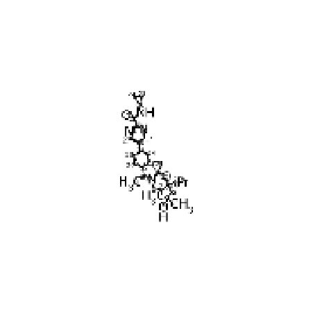 CC(C)[C@@]1(CC(C)(C)O)CCN([C@@H](C)c2ccc(-c3cnc(C(=O)NC4CC4)nc3)cc2)C(=O)O1